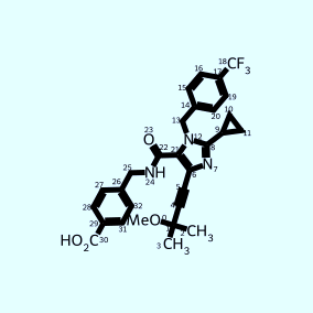 COC(C)(C)C#Cc1nc(C2CC2)n(Cc2ccc(C(F)(F)F)cc2)c1C(=O)NCc1ccc(C(=O)O)cc1